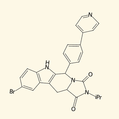 CC(C)N1C(=O)C2Cc3c([nH]c4ccc(Br)cc34)C(c3ccc(-c4ccncc4)cc3)N2C1=O